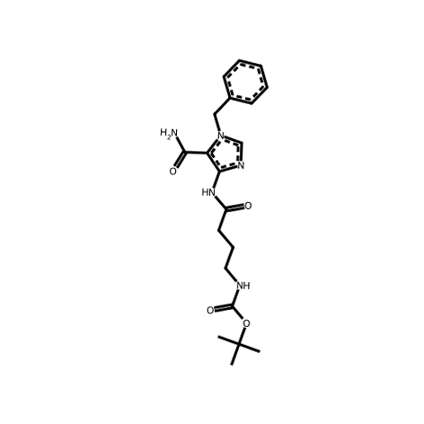 CC(C)(C)OC(=O)NCCCC(=O)Nc1ncn(Cc2ccccc2)c1C(N)=O